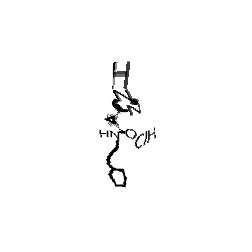 Cl.O=C(NCCC1CCCCC1)[C@@H]1C[C@@H]1c1c[nH]cn1